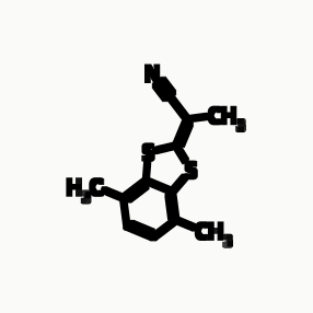 CC(C#N)=C1Sc2c(C)ccc(C)c2S1